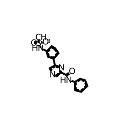 CS(=O)(=O)Nc1cccc(-c2cncc(C(=O)Nc3ccccc3)n2)c1